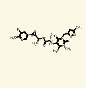 Cc1cc(Cn2c(=O)c(N[C@@H](C)C(=O)NC(N)C3S[C@@H]3c3cnc(C)c(F)c3)c(N)n(C)c2=O)no1